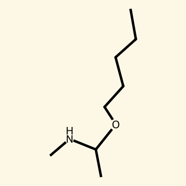 CCCCCOC(C)NC